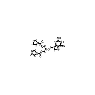 Nc1nc2c(ncn2COC(COC(=O)n2ccnc2)COC(=O)n2ccnc2)c(=O)[nH]1